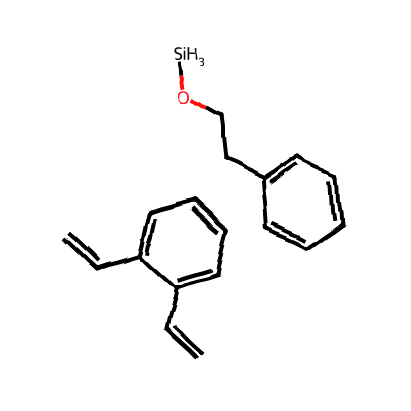 C=Cc1ccccc1C=C.[SiH3]OCCc1ccccc1